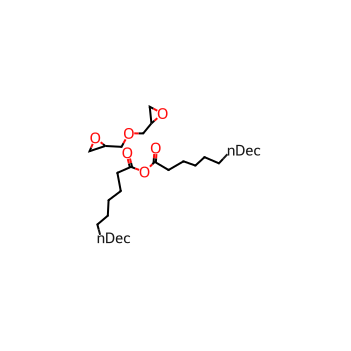 C(OCC1CO1)C1CO1.CCCCCCCCCCCCCCCC(=O)OC(=O)CCCCCCCCCCCCCCC